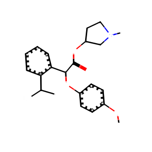 COc1ccc(OC(C(=O)OC2CCN(C)C2)c2ccccc2C(C)C)cc1